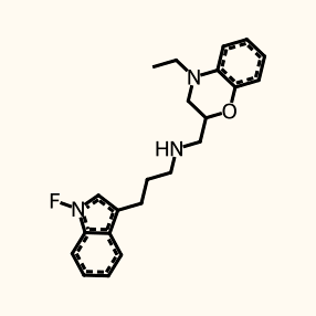 CCN1CC(CNCCCc2cn(F)c3ccccc23)Oc2ccccc21